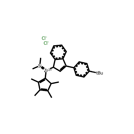 CC1=C(C)C(C)[C]([Zr+2]([CH]2C=C(c3ccc(C(C)(C)C)cc3)c3ccccc32)=[Si](C)C)=C1C.[Cl-].[Cl-]